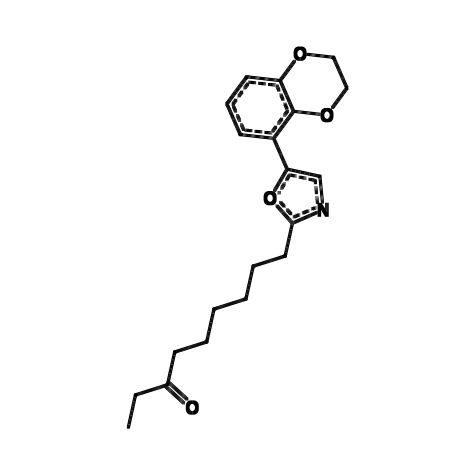 CCC(=O)CCCCCCc1ncc(-c2cccc3c2OCCO3)o1